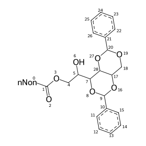 CCCCCCCCCC(=O)OCC(O)C1OC(c2ccccc2)OC2COC(c3ccccc3)OC21